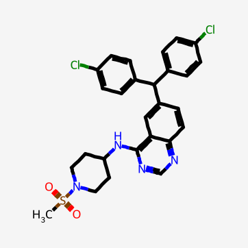 CS(=O)(=O)N1CCC(Nc2ncnc3ccc(C(c4ccc(Cl)cc4)c4ccc(Cl)cc4)cc23)CC1